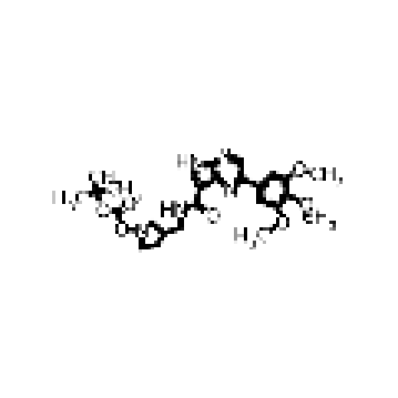 COc1cc(-c2cnc3[nH]cc(C(=O)NCC4CCN(OC(=O)OC(C)(C)C)C4)c3n2)cc(OC)c1OC